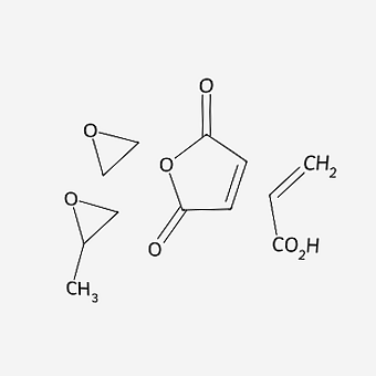 C1CO1.C=CC(=O)O.CC1CO1.O=C1C=CC(=O)O1